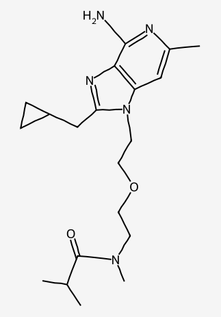 Cc1cc2c(nc(CC3CC3)n2CCOCCN(C)C(=O)C(C)C)c(N)n1